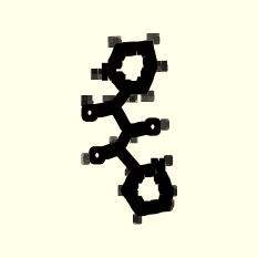 O=C(C(=O)c1ccccn1)C(=O)c1ccccn1